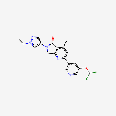 CCn1cc(N2Cc3nc(-c4cncc(OC(F)F)c4)cc(C)c3C2=O)cn1